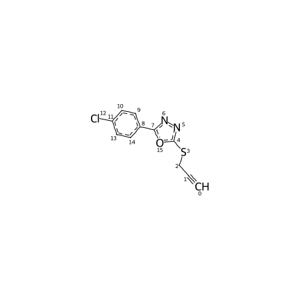 C#CCSc1nnc(-c2ccc(Cl)cc2)o1